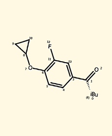 CC[C@@H](C)C(=O)c1ccc(OC2CC2)c(F)c1